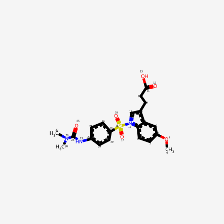 COc1ccc2c(c1)c(CCC(=O)O)cn2S(=O)(=O)c1ccc(NC(=O)N(C)C)cc1